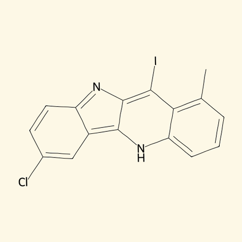 Cc1cccc2[nH]c3c4cc(Cl)ccc4nc-3c(I)c12